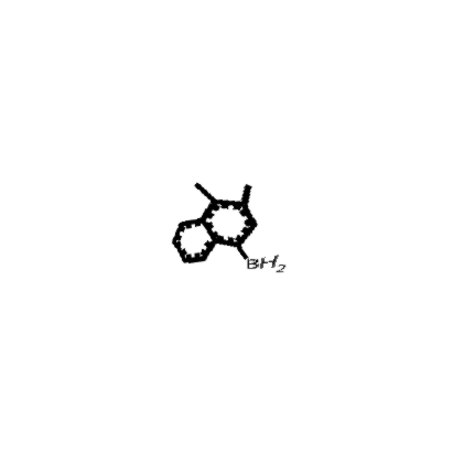 Bc1cc(C)c(C)c2ccccc12